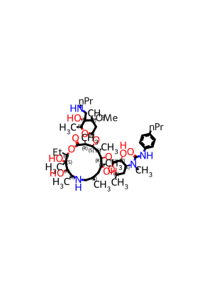 CCCNC[C@]1(O)[C@H](C)O[C@@H](O[C@H]2[C@H](C)[C@@H](O[C@@H]3O[C@H](C)C[C@H](N(C)C(=O)Nc4ccc(CCC)cc4)[C@H]3O)[C@](C)(O)C[C@@H](C)CN[C@H](C)[C@@H](O)[C@](C)(O)[C@@H](CC)OC(=O)[C@@H]2C)C[C@@]1(C)OC